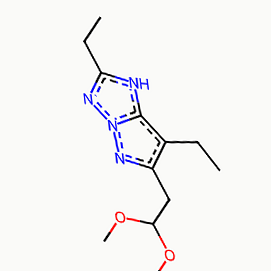 CCc1nn2nc(CC(OC)OC)c(CC)c2[nH]1